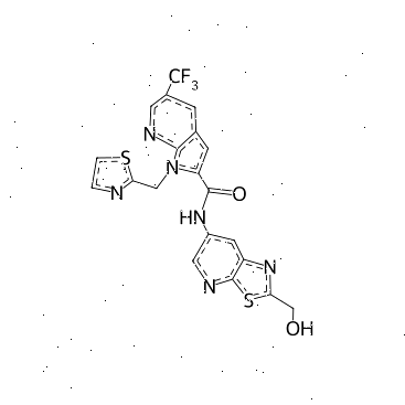 O=C(Nc1cnc2sc(CO)nc2c1)c1cc2cc(C(F)(F)F)cnc2n1Cc1nccs1